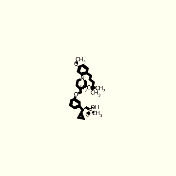 COc1ccc(CCCC(C)(C)C)c(N2CCC(COc3cccc([C@@H](CP(C)(=O)O)C4CC4)c3)CC2)c1